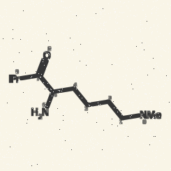 CNCCCCC(N)C(=O)C(C)C